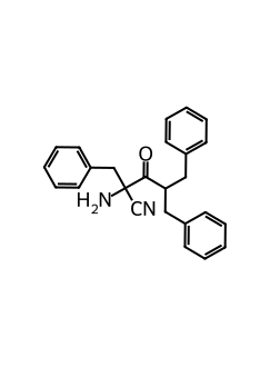 N#CC(N)(Cc1ccccc1)C(=O)C(Cc1ccccc1)Cc1ccccc1